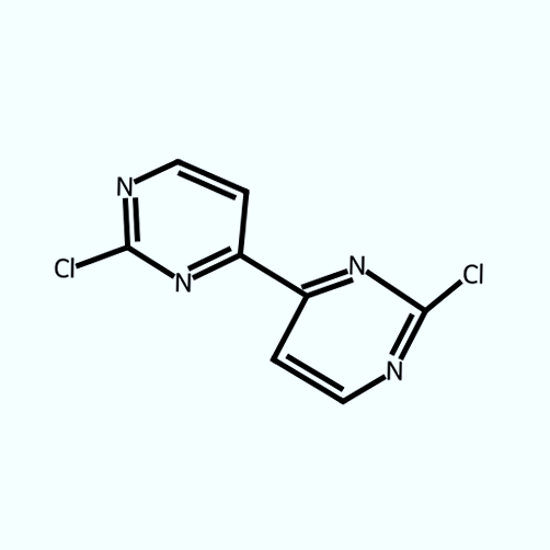 Clc1nccc(-c2ccnc(Cl)n2)n1